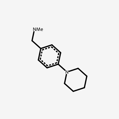 CNCc1ccc(N2CCCCC2)cc1